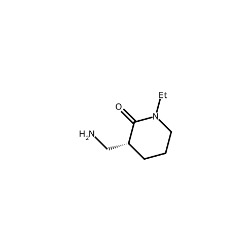 CCN1CCC[C@H](CN)C1=O